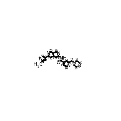 Cn1cc(-c2cc3cc(NC(=O)c4ccnc(CN5CCOCC5)c4)ncc3cn2)cn1